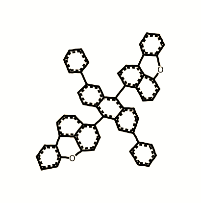 c1ccc(-c2ccc3c(-c4ccc5c6c(cccc46)Oc4ccccc4-5)c4cc(-c5ccccc5)ccc4c(-c4ccc5c6c(cccc46)-c4ccccc4O5)c3c2)cc1